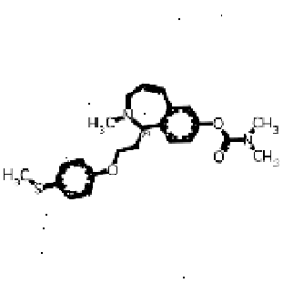 CSc1ccc(OCC[C@@H]2c3ccc(OC(=O)N(C)C)cc3C=CCN2C)cc1